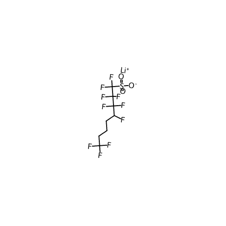 O=S(=O)([O-])C(F)(F)C(F)(F)C(F)(F)C(F)CCCC(F)(F)F.[Li+]